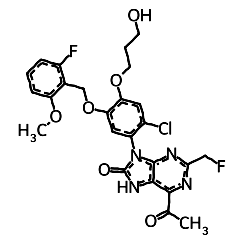 COc1cccc(F)c1COc1cc(-n2c(=O)[nH]c3c(C(C)=O)nc(CF)nc32)c(Cl)cc1OCCCO